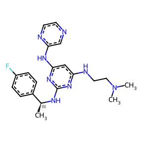 C[C@H](Nc1nc(NCCN(C)C)cc(Nc2cnccn2)n1)c1ccc(F)cc1